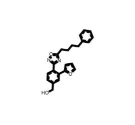 OCc1ccc(-c2noc(CCCCc3ccccc3)n2)c(-c2ccco2)c1